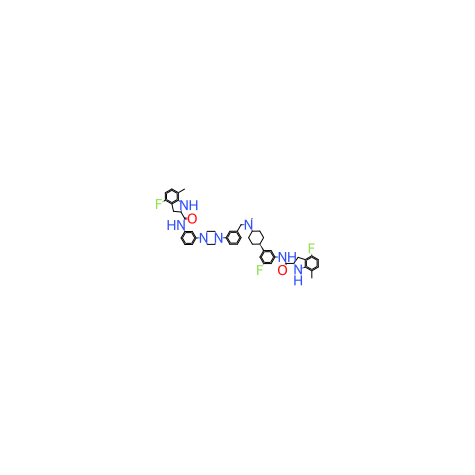 Cc1ccc(F)c2c1NC(C(=O)Nc1cccc(N3CCN(c4cccc(CN(C)[C@H]5CC[C@H](c6cc(F)cc(NC(=O)C7Cc8c(F)ccc(C)c8N7)c6)CC5)c4)CC3)c1)C2